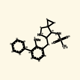 COc1c(CC2NCC3(CC3)C2NS(C)(=O)=O)cccc1-c1ccccc1